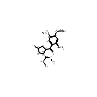 CCCCOc1cc([N+](=O)[O-])c(C(=O)C2CC(F)C[C@H]2C(SCC)SCC)cc1OC